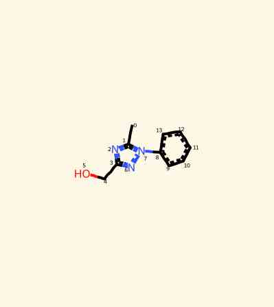 Cc1nc(CO)nn1-c1ccccc1